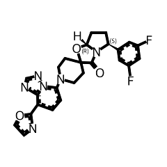 O=C1N2[C@@H](CC[C@H]2c2cc(F)cc(F)c2)OC12CCN(c1ccc(-c3ncco3)c3ncnn13)CC2